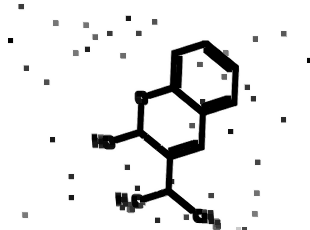 CC(C)C1=Cc2ccccc2OC1O